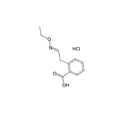 CCON=CCc1ccccc1C(=O)O.Cl